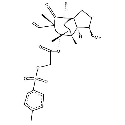 C=C[C@@]1(C)C[C@@H](OC(=O)COS(=O)(=O)c2ccc(C)cc2)[C@]2(C)[C@H](C)CC[C@]3(CC[C@@H](OC)[C@H]32)[C@@H](C)C1=O